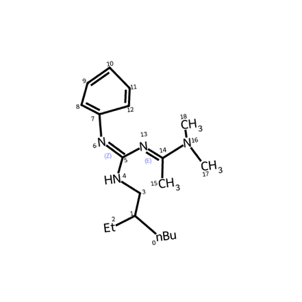 CCCCC(CC)CNC(=N/c1ccccc1)/N=C(\C)N(C)C